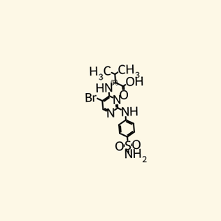 CC(C)[C@@H](Nc1nc(Nc2ccc(S(N)(=O)=O)cc2)ncc1Br)C(=O)O